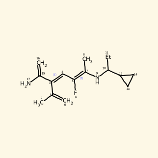 C=C(C)/C(=C\C(F)=C(/C)NC(CC)C1CC1)C(=C)N